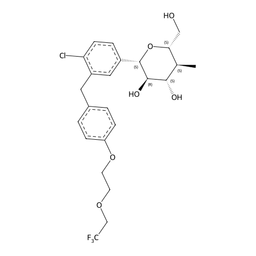 C[C@H]1[C@H](O)[C@@H](O)[C@H](c2ccc(Cl)c(Cc3ccc(OCCOCC(F)(F)F)cc3)c2)O[C@@H]1CO